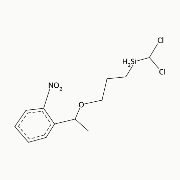 CC(OCCC[SiH2]C(Cl)Cl)c1ccccc1[N+](=O)[O-]